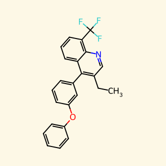 CCc1cnc2c(C(F)(F)F)cccc2c1-c1cccc(Oc2ccccc2)c1